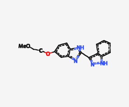 COCCOc1ccc2[nH]c(-c3n[nH]c4ccccc34)nc2c1